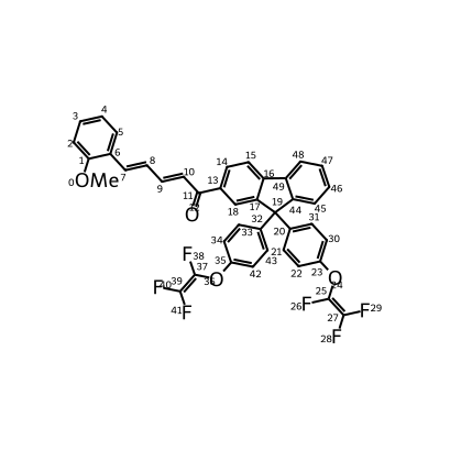 COc1ccccc1C=CC=CC(=O)c1ccc2c(c1)C(c1ccc(OC(F)=C(F)F)cc1)(c1ccc(OC(F)=C(F)F)cc1)c1ccccc1-2